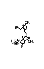 CC(C)Cc1nc(C(F)(F)F)ccc1C=CC(=O)NC(C)c1ccc(NS(C)(=O)=O)c(F)c1